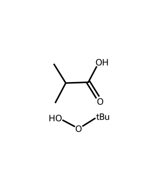 CC(C)(C)OO.CC(C)C(=O)O